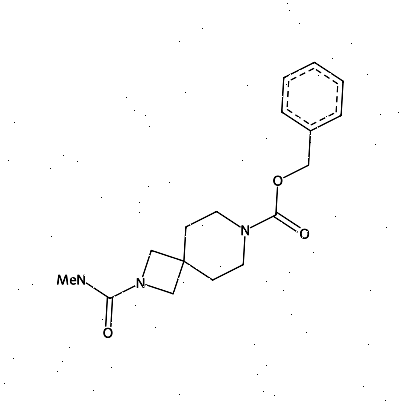 CNC(=O)N1CC2(CCN(C(=O)OCc3ccccc3)CC2)C1